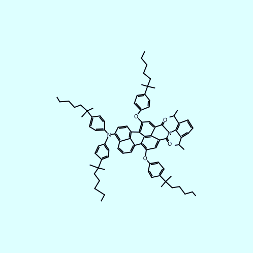 CCCCCC(C)(C)c1ccc(Oc2cc3c4c(cc(Oc5ccc(C(C)(C)CCCCC)cc5)c5c6ccc(N(c7ccc(C(C)(C)CCCCC)cc7)c7ccc(C(C)(C)CCCCC)cc7)c7cccc(c2c45)c76)C(=O)N(c2c(C(C)C)cccc2C(C)C)C3=O)cc1